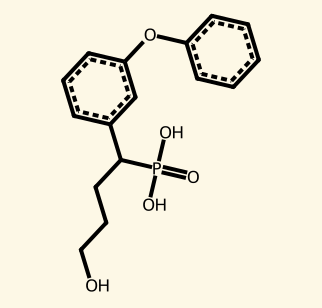 O=P(O)(O)C(CCCO)c1cccc(Oc2ccccc2)c1